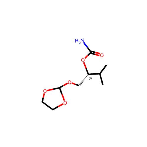 CC(C)[C@H](COC1OCCO1)OC(N)=O